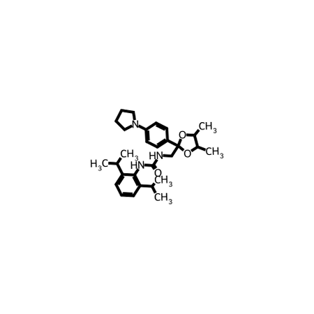 CC(C)c1cccc(C(C)C)c1NC(=O)NCC1(c2ccc(N3CCCC3)cc2)OC(C)C(C)O1